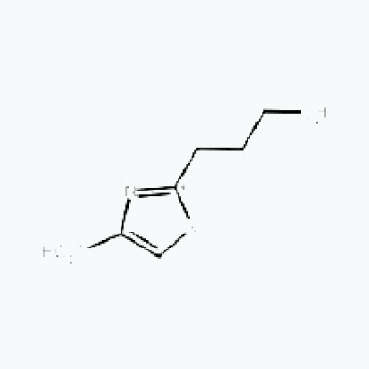 O=C(O)c1csc(CCCO)n1